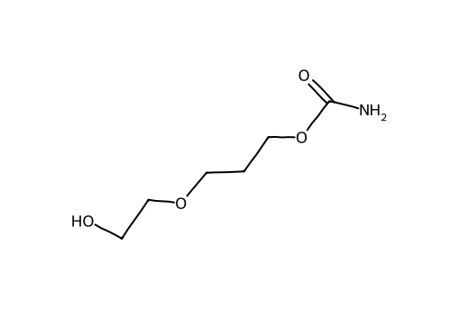 NC(=O)OCCCOCCO